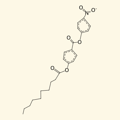 CCCCCCCCCC(=O)Oc1ccc(C(=O)Oc2ccc([N+](=O)[O-])cc2)cc1